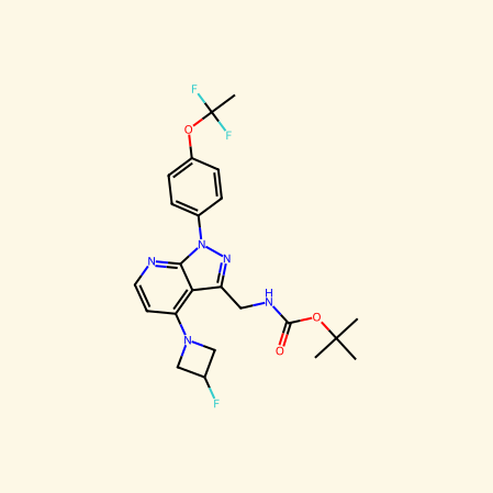 CC(C)(C)OC(=O)NCc1nn(-c2ccc(OC(C)(F)F)cc2)c2nccc(N3CC(F)C3)c12